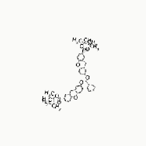 CC1(C)OB(c2ccc3c(c2)Cc2cc(OC(Oc4ccc5c(c4)Cc4cc(B6OC(C)(C)C(C)(C)O6)ccc4O5)c4ccccc4)ccc2O3)OC1(C)C